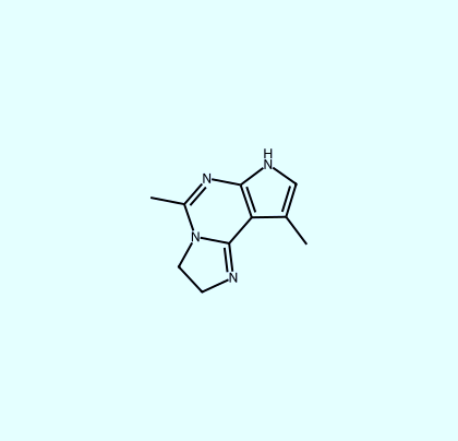 CC1=Nc2[nH]cc(C)c2C2=NCCN12